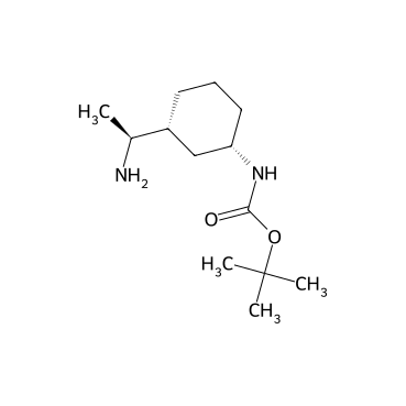 C[C@H](N)[C@@H]1CCC[C@H](NC(=O)OC(C)(C)C)C1